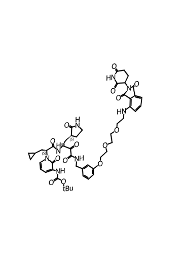 CC(C)(C)OC(=O)Nc1cccn([C@@H](CC2CC2)C(=O)N[C@@H](C[C@@H]2CCNC2=O)C(=O)C(=O)NCc2cccc(OCCOCCOCCNc3cccc4c3C(=O)N(C3CCC(=O)NC3=O)C4=O)c2)c1=O